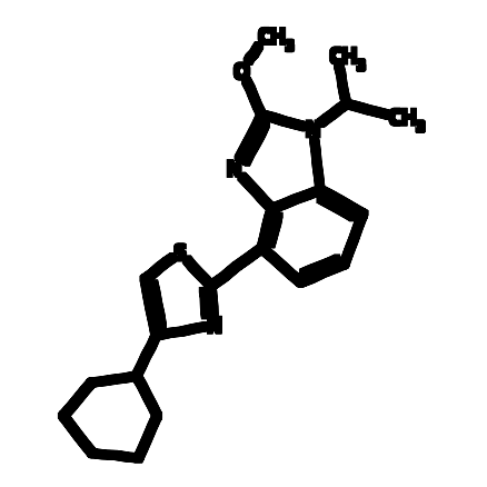 COc1nc2c(-c3nc(C4CCCCC4)cs3)cccc2n1C(C)C